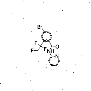 O=C(Nc1ccccn1)c1ccc(Br)cc1C(F)(F)CF